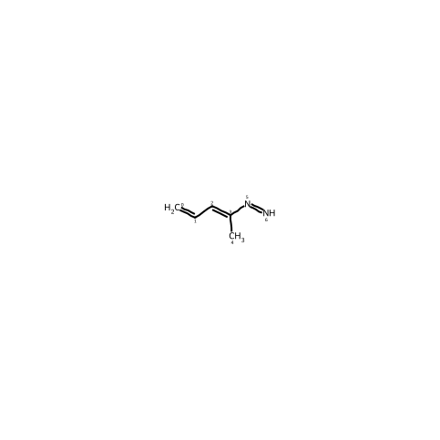 C=C/C=C(\C)N=N